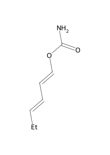 CCC=CC=COC(N)=O